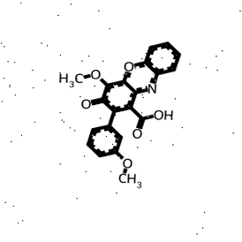 COc1cccc(-c2c(C(=O)O)c3nc4ccccc4oc-3c(OC)c2=O)c1